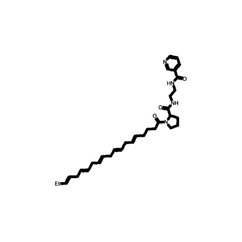 CCC=CCC=CCC=CCC=CCC=CCCCC(=O)N1CCCC1C(=O)NCCNC(=O)c1cccnc1